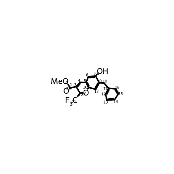 COC(=O)C1=Cc2cc(O)c(Cc3ccccc3)cc2OC1C(F)(F)F